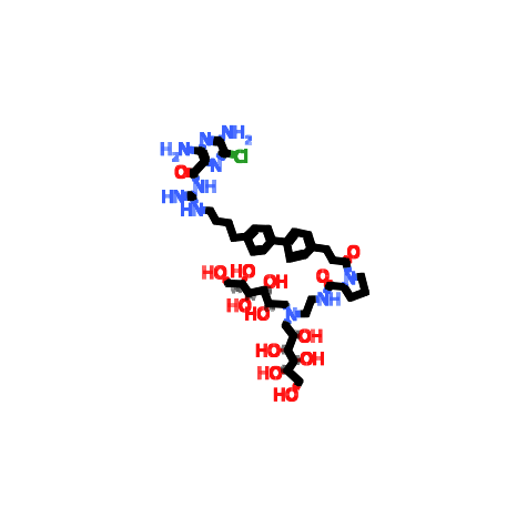 N=C(NCCCCc1ccc(-c2ccc(CCC(=O)N3CCCC3C(=O)NCCN(C[C@H](O)[C@@H](O)[C@H](O)[C@H](O)CO)C[C@H](O)[C@@H](O)[C@H](O)[C@H](O)CO)cc2)cc1)NC(=O)c1nc(Cl)c(N)nc1N